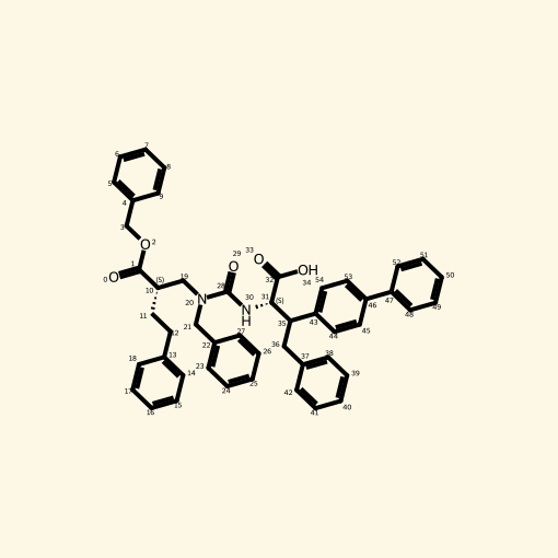 O=C(OCc1ccccc1)[C@@H](CCc1ccccc1)CN(Cc1ccccc1)C(=O)N[C@H](C(=O)O)C(Cc1ccccc1)c1ccc(-c2ccccc2)cc1